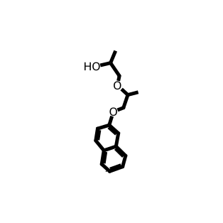 CC(O)COC(C)COc1ccc2c[c]ccc2c1